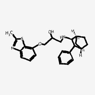 Cc1nc2cccc(OCC(O)CNC3C(c4ccccc4)[C@H]4CC[C@H]3C4)c2s1